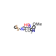 COc1ccc2nccc(C(CCC3CCN(CCSc4cccs4)CC3C(=O)O)=NO)c2c1